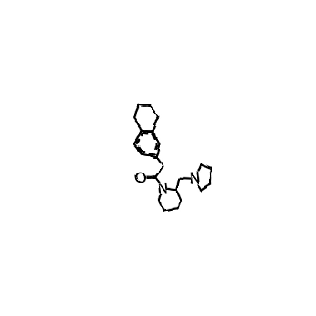 O=C(Cc1ccc2c(c1)CCCC2)N1CCCCC1CN1CCCC1